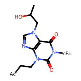 CCCCn1c(=O)c2c(ncn2CC(C)O)n(CCC(C)=O)c1=O